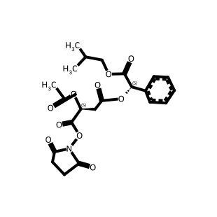 CC(=O)O[C@@H](CC(=O)O[C@H](C(=O)OCC(C)C)c1ccccc1)C(=O)ON1C(=O)CCC1=O